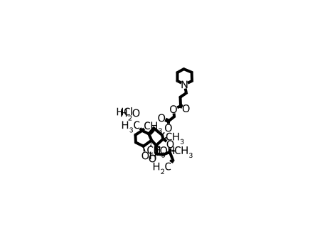 C=C[C@@]1(C)CC(=O)[C@@]2(O)[C@](C)(O1)[C@@H](OC(=O)COC(=O)CCN1CCCCC1)C=C1C(C)(C)CC[C@H](O)[C@@]12C.Cl.O